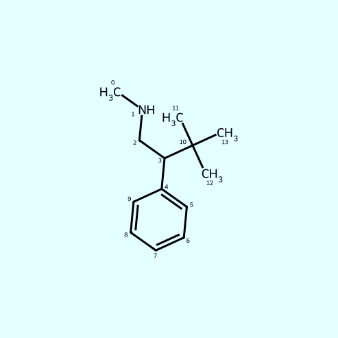 CNCC(c1ccccc1)C(C)(C)C